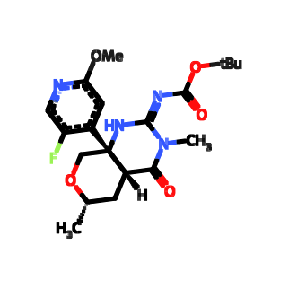 COc1cc([C@]23CO[C@@H](C)C[C@H]2C(=O)N(C)/C(=N\C(=O)OC(C)(C)C)N3)c(F)cn1